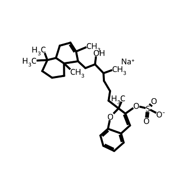 CC1=CCC2C(C)(C)CCCC2(C)C1CC(O)C(C)CCCC1(C)Oc2ccccc2C=C1OS(=O)(=O)[O-].[Na+]